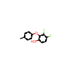 Cc1ccc(Oc2c(O)ccc(F)c2F)cc1